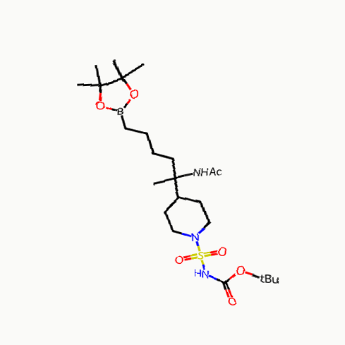 CC(=O)NC(C)(CCCCB1OC(C)(C)C(C)(C)O1)C1CCN(S(=O)(=O)NC(=O)OC(C)(C)C)CC1